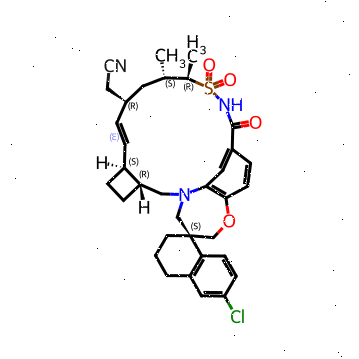 C[C@@H]1[C@@H](C)C[C@H](CC#N)/C=C/[C@@H]2CC[C@H]2CN2C[C@@]3(CCCc4cc(Cl)ccc43)COc3ccc(cc32)C(=O)NS1(=O)=O